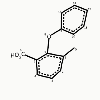 Cc1cccc(C(=O)O)c1Oc1ccccc1